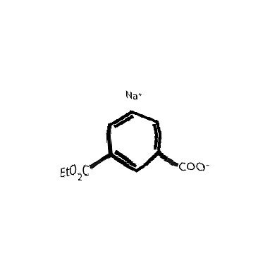 CCOC(=O)c1cccc(C(=O)[O-])c1.[Na+]